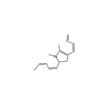 C=C/C=C\C1=C(C)N(C)C(/C=C\C=C/C)C1